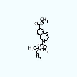 COC(=O)c1ccc2c(c1)SCCN(C(=O)OC(C)(C)C)C2